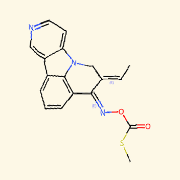 C/C=C1\Cn2c3ccncc3c3cccc(c32)\C1=N\OC(=O)SC